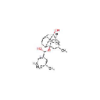 C/C=C(\C=C(C)C)C(O)OC12CC(C)C[C@H]3C1CC1CC2C(C)C3(O)C1